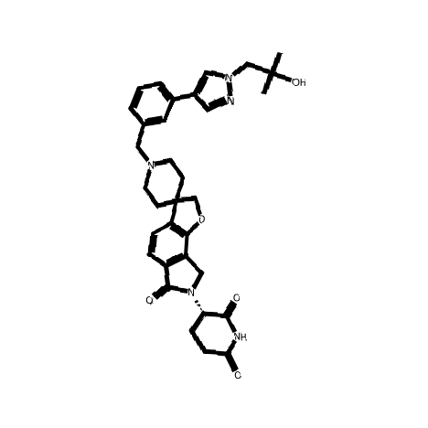 CC(C)(O)Cn1cc(-c2cccc(CN3CCC4(CC3)COc3c4ccc4c3CN([C@H]3CCC(=O)NC3=O)C4=O)c2)cn1